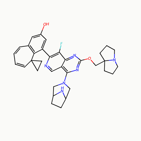 Oc1cc2c(c(-c3ncc4c(N5CC6CCC(C5)N6)nc(OCC56CCCN5CCC6)nc4c3F)c1)C1(C=CC=C2)CC1